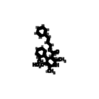 CC1=C(C(=O)O)C(c2ccccc2C)C(C(=O)OCC=Cc2ccccc2)=C(C)N1